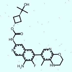 Cc1c(-c2cc3cc(NC(=O)O[C@H]4C[C@H](C(C)(C)O)C4)ncc3c(N)c2F)cnc2c1NCCO2